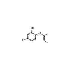 CC=C(C)Oc1ccc(F)cc1Br